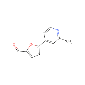 Cc1cc(-c2ccc(C=O)o2)ccn1